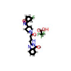 O=C(CCCc1nc2ccccc2c(=O)[nH]1)N1CCC(c2noc3ccc(F)cc23)CC1.O=C(O)C(F)(F)F